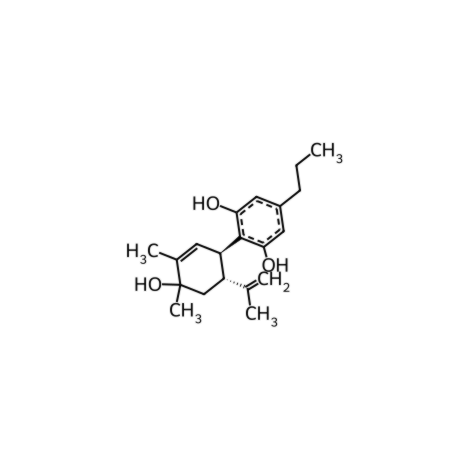 C=C(C)[C@@H]1CC(C)(O)C(C)=C[C@H]1c1c(O)cc(CCC)cc1O